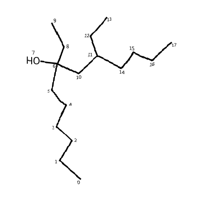 CCCCCCC(O)(CC)CC(CC)CCCC